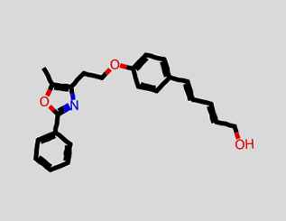 Cc1oc(-c2ccccc2)nc1CCOc1ccc(C=CC=CCO)cc1